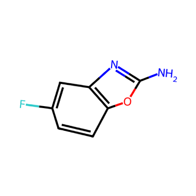 Nc1nc2cc(F)ccc2o1